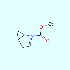 CCOC(=O)[N+]1=CCC2CC21